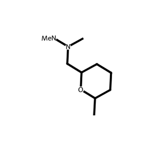 CNN(C)CC1CCCC(C)O1